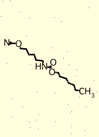 CCCCCCCOC(=O)NCCCCCCOC#N